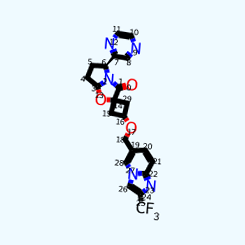 O=C1N2C(CC[C@H]2c2cnccn2)OC12CC(OCc1ccc3nc(C(F)(F)F)cn3c1)C2